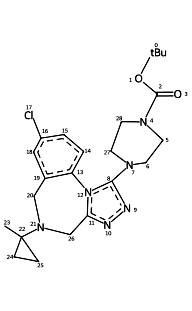 CC(C)(C)OC(=O)N1CCN(c2nnc3n2-c2ccc(Cl)cc2CN(C2(C)CC2)C3)CC1